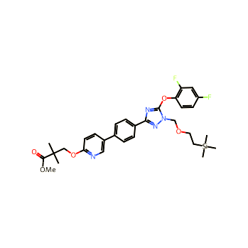 COC(=O)C(C)(C)COc1ccc(-c2ccc(-c3nc(Oc4ccc(F)cc4F)n(COCC[Si](C)(C)C)n3)cc2)cn1